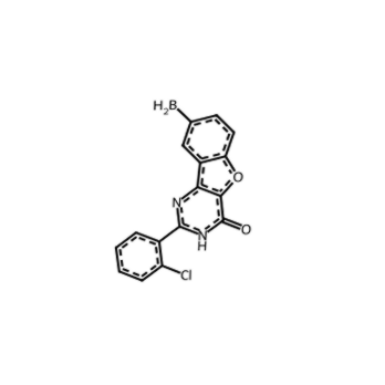 Bc1ccc2oc3c(=O)[nH]c(-c4ccccc4Cl)nc3c2c1